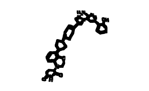 Nc1nnc(-c2ccccc2O)cc1-n1cc(C2=CCN(C3CCC(c4cccc5c4OCCN5[C@@H]4CCC(=O)NC4=O)CC3)CC2)cn1